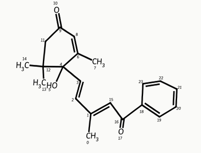 CC(C=CC1(O)C(C)=CC(=O)CC1(C)C)=CC(=O)c1ccccc1